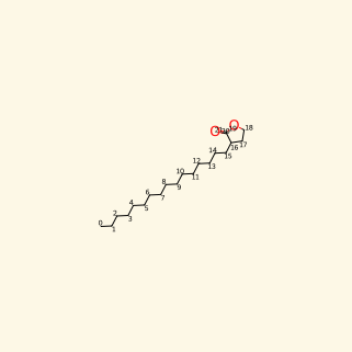 CCCCCCCCCCCCCCCCC1CCOC1=O